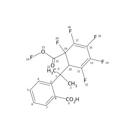 CC(C)(c1ccccc1C(=O)O)C1C(F)=C(F)C(F)=C(F)C1(F)C(=O)OF